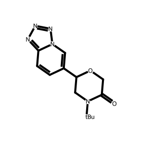 CC(C)(C)N1CC(c2ccc3nnnn3c2)OCC1=O